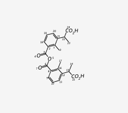 Cc1c(C(=O)OC(=O)c2cccc(C(C)C(=O)O)c2C)cccc1C(C)C(=O)O